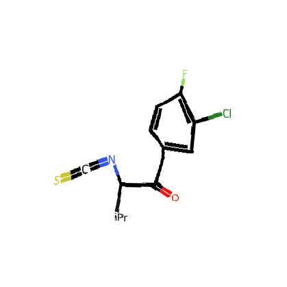 CC(C)C(N=C=S)C(=O)c1ccc(F)c(Cl)c1